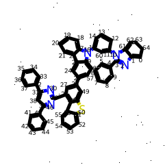 C1=c2nc(-c3ccccc3)n(-c3cccc(-n4c5ccccc5c5cc(-c6cc(-c7nc(-c8ccccc8)cc(-c8ccccc8)n7)c7c(c6)sc6ccccc67)ccc54)c3)c2=CCC1